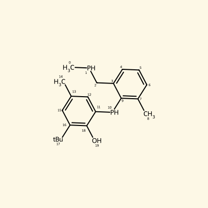 CPCc1cccc(C)c1Pc1cc(C)cc(C(C)(C)C)c1O